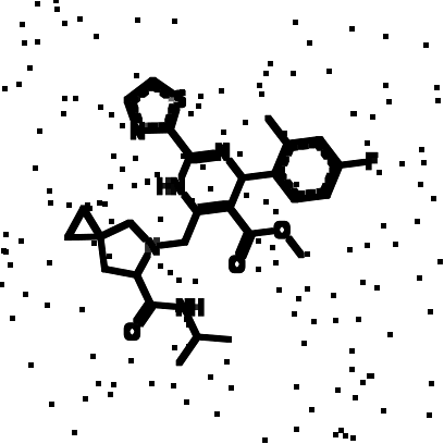 COC(=O)C1=C(CN2CC3(CC3)CC2C(=O)NC(C)C)NC(c2nccs2)=NC1c1ccc(F)cc1C